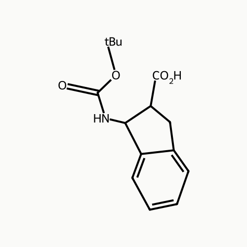 CC(C)(C)OC(=O)NC1c2ccccc2CC1C(=O)O